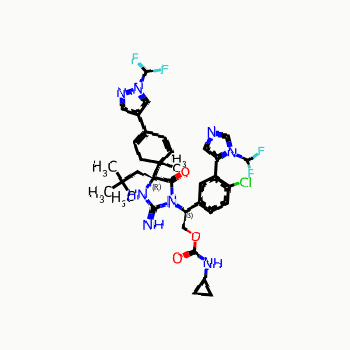 CC(C)(C)C[C@]1(C2(C)C=CC(c3cnn(C(F)F)c3)=CC2)NC(=N)N([C@H](COC(=O)NC2CC2)c2ccc(Cl)c(-c3cncn3C(F)F)c2)C1=O